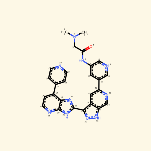 CN(C)CC(=O)Nc1cncc(-c2cc3c(-c4nc5c(-c6ccncc6)ccnc5[nH]4)n[nH]c3cn2)c1